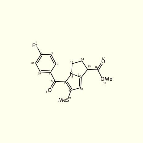 CCc1ccc(C(=O)c2c(SC)cc3n2CCC3C(=O)OC)cc1